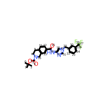 CC(C)(C)OC(=O)N1CCc2ccc(C(=O)Nc3cn(Cc4cccc(C(F)(F)F)c4)cn3)cc2C1